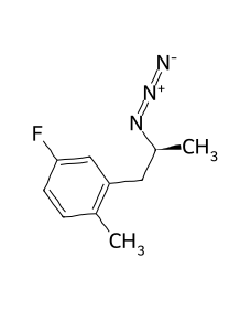 Cc1ccc(F)cc1C[C@H](C)N=[N+]=[N-]